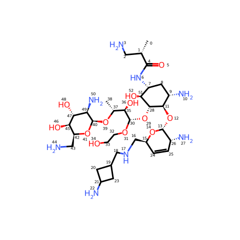 C[C@@H](CN)C(=O)N[C@@H]1C[C@H](N)[C@@H](O[C@H]2O[C@H](CNCC3CC(N)C3)C=C[C@H]2N)[C@H](O[C@H](OCCO)[C@H](O)[C@@H](C)O[C@H]2O[C@@H](CN)[C@@H](O)[C@H](O)[C@H]2N)[C@H]1O